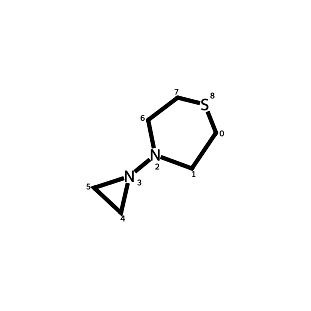 C1CN(N2CC2)CCS1